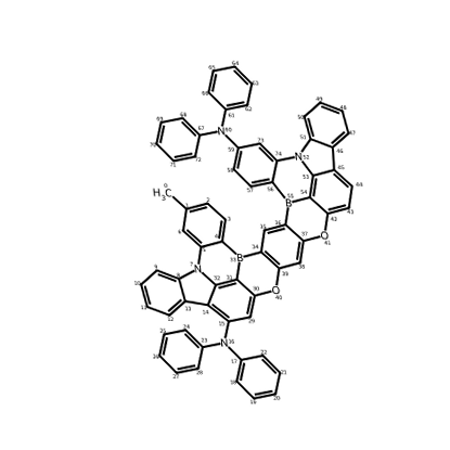 Cc1ccc2c(c1)-n1c3ccccc3c3c(N(c4ccccc4)c4ccccc4)cc4c(c31)B2c1cc2c(cc1O4)Oc1ccc3c4ccccc4n4c3c1B2c1ccc(N(c2ccccc2)c2ccccc2)cc1-4